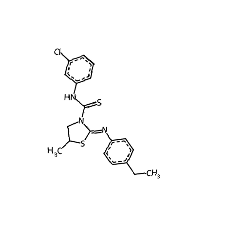 CCc1ccc(N=C2SC(C)CN2C(=S)Nc2cccc(Cl)c2)cc1